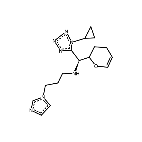 C1=COC([C@@H](NCCCn2ccnc2)c2nnnn2C2CC2)CC1